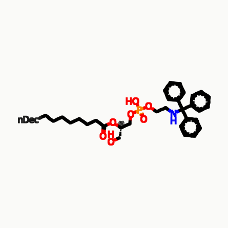 CCCCCCCCCCCCCCCCCC(=O)O[C@@H](CO)COP(=O)(O)OCCNC(c1ccccc1)(c1ccccc1)c1ccccc1